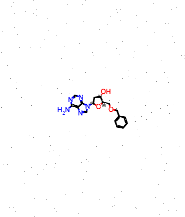 Nc1ncnc2c1ncn2[C@H]1C[C@H](O)[C@@H](COCc2ccccc2)O1